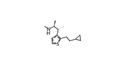 CN[C@@H](C)[C@H](C)c1ccsc1CCC1CC1